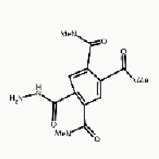 CNC(=O)c1cc(C(=O)NC)c(C(=O)NN)cc1C(=O)NC